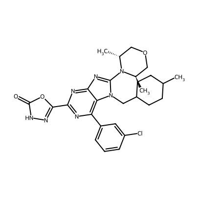 CC1CCC(Cn2c(N3[C@H](C)COC[C@H]3C)nc3nc(-c4n[nH]c(=O)o4)nc(-c4cccc(Cl)c4)c32)CC1